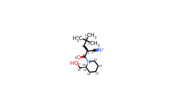 CC(C)(C)C=C(C#N)C(=O)N1CCCC[C@H]1CO